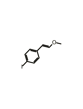 CO/C=C/c1ccc(I)cc1